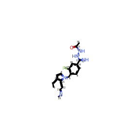 C/C=c1/ccn(Cc2ccc(C(=N)NNC(C)=O)cc2F)/c1=C/C=N/C